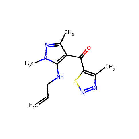 C=CCNc1c(C(=O)c2snnc2C)c(C)nn1C